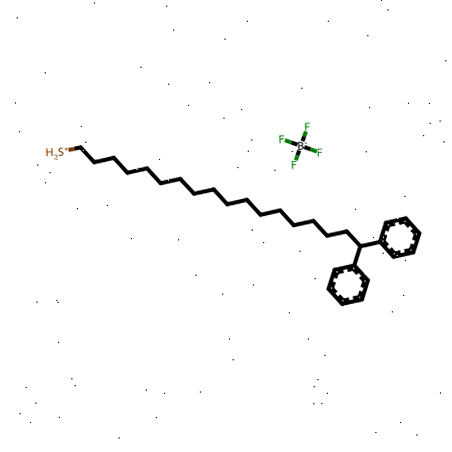 F[B-](F)(F)F.[SH2+]CCCCCCCCCCCCCCCCCC(c1ccccc1)c1ccccc1